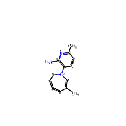 CC1=CN(c2ccc(C)nc2N)CC=C=C1